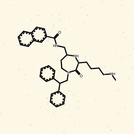 CNCCCCC1NC(CNC(=O)c2ccc3ccccc3c2)CCN(CC(c2ccccc2)c2ccccc2)C1=O